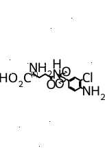 Nc1ccc(S(=O)(=O)NC(=O)CC[C@H](N)C(=O)O)cc1Cl